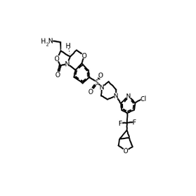 NC[C@@H]1OC(=O)N2c3ccc(S(=O)(=O)N4CCN(c5cc(C(F)(F)C6C7COCC76)cc(Cl)n5)CC4)cc3OC[C@H]12